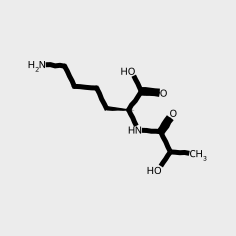 CC(O)C(=O)N[C@@H](CCCCN)C(=O)O